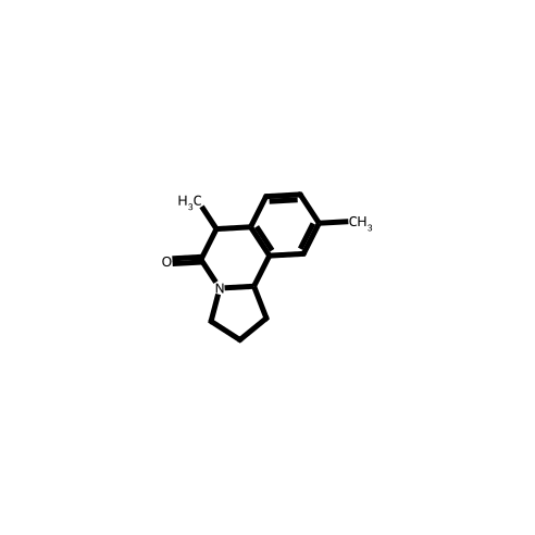 Cc1ccc2c(c1)C1CCCN1C(=O)C2C